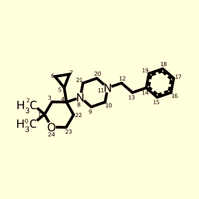 CC1(C)CC(C2CC2)(N2CCN(CCc3ccccc3)CC2)CCO1